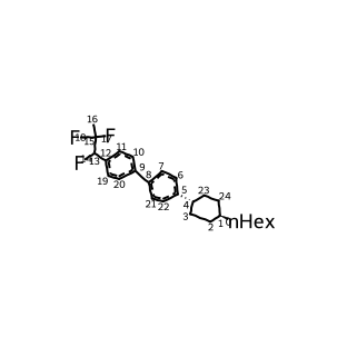 CCCCCC[C@H]1CC[C@H](c2ccc(-c3ccc(C(F)C(C)(F)F)cc3)cc2)CC1